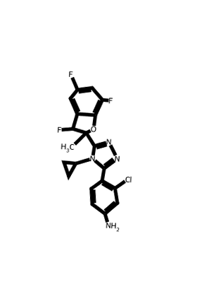 CC1(c2nnc(-c3ccc(N)cc3Cl)n2C2CC2)Oc2c(F)cc(F)cc2C1F